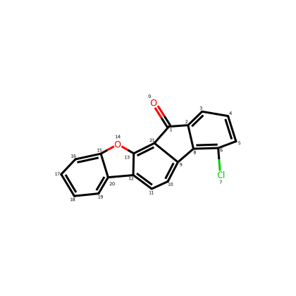 O=C1c2cccc(Cl)c2-c2ccc3c(oc4ccccc43)c21